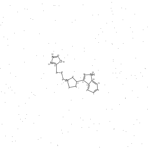 c1ccc2c(C3CCN(CCCc4nnco4)C3)c[nH]c2c1